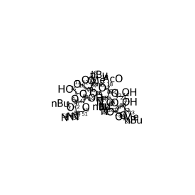 CCCCOC1[C@H](OC(CO)OC(C(=O)OC)[C@H](O[C@@H]2OC(COC(C)=O)[C@@H](OC(CO)OC(C(=O)OC)[C@@H](O)[C@H](C)OCCCC)C(OCCCC)[C@@H]2N=[N+]=[N-])[C@H](C)OCCCC)C(CO)OC[C@H]1N=[N+]=[N-]